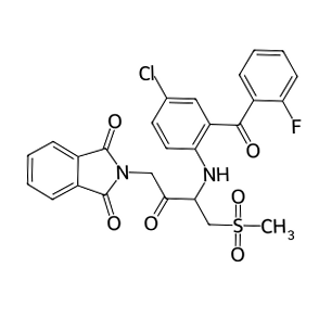 CS(=O)(=O)CC(Nc1ccc(Cl)cc1C(=O)c1ccccc1F)C(=O)CN1C(=O)c2ccccc2C1=O